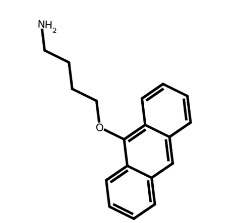 NCCCCOc1c2ccccc2cc2ccccc12